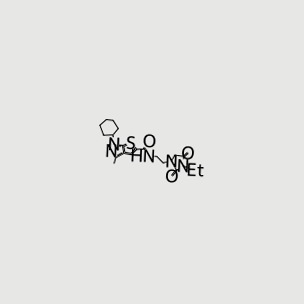 CCN1C(=O)CN(CCNC(=O)c2cc3c(C)nn(C4CCCCC4)c3s2)C1=O